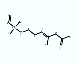 C=C[Si](C)(C)OCC/N=C(\C)CC(C)=O